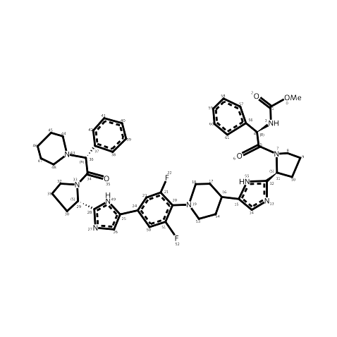 COC(=O)N[C@@H](C(=O)N1CCC[C@H]1c1ncc(C2CCN(c3c(F)cc(-c4cnc([C@@H]5CCCN5C(=O)[C@@H](c5ccccc5)N5CCCCC5)[nH]4)cc3F)CC2)[nH]1)c1ccccc1